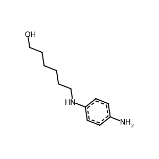 Nc1ccc(NCCCCCCO)cc1